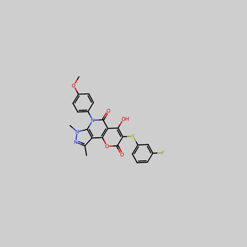 COc1ccc(-n2c(=O)c3c(O)c(Sc4cccc(F)c4)c(=O)oc3c3c(C)nn(C)c32)cc1